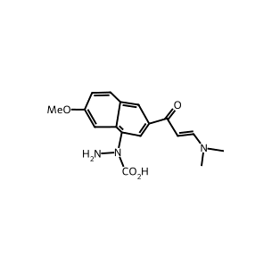 COc1ccc2cc(C(=O)C=CN(C)C)cc(N(N)C(=O)O)c2c1